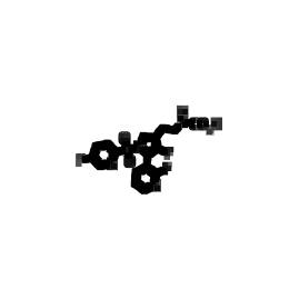 O=C(O)NCCc1cn(S(=O)(=O)c2ccc(F)cn2)c(-c2cccnc2F)c1F